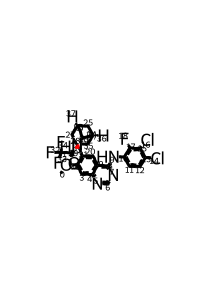 COc1cc2ncnc(Nc3ccc(Cl)c(Cl)c3F)c2cc1N[C@H]1[C@@H]2C[C@H]1CN(C(=O)C(F)(F)F)C2